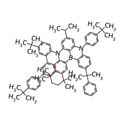 CC(C)c1cc2c3c(c1)N(c1ccc(C(C)(C)C)cc1-c1cccc(-c4ccc(C(C)(C)C)cc4)c1)c1cc4c(cc1B3c1cc(C(C)(C)c3ccccc3)ccc1N2c1ccc(C(C)(C)C)cc1)C(C)(C)CCC4(C)C